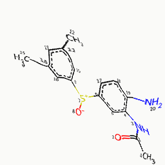 CC(=O)Nc1cc([S+]([O-])c2cc(C)cc(C)c2)ccc1N